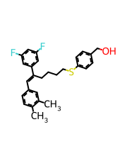 Cc1ccc(/C=C(\CCCCSc2ccc(CO)cc2)c2cc(F)cc(F)c2)cc1C